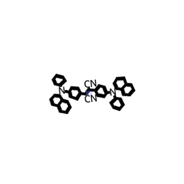 N#C/C(=C(/C#N)c1ccc(N(c2ccccc2)c2cccc3ccccc23)cc1)c1ccc(N(c2ccccc2)c2cccc3ccccc23)cc1